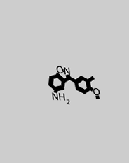 COc1ccc(-c2noc3ccc(N)cc23)cc1C